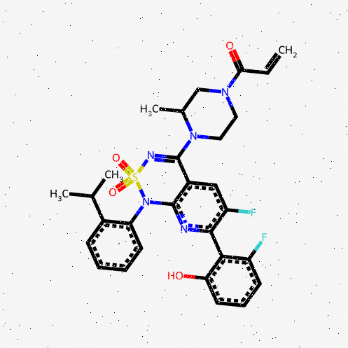 C=CC(=O)N1CCN(C2=NS(=O)(=O)N(c3ccccc3C(C)C)c3nc(-c4c(O)cccc4F)c(F)cc32)C(C)C1